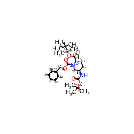 C[C@@H](O[Si](C)(C)C(C)(C)C)[C@@H]1CC[C@@H](NC(=O)OC(C)(C)C)CN1C(=O)OCc1ccccc1